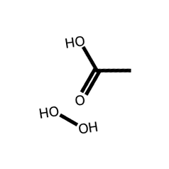 CC(=O)O.OO